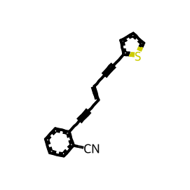 N#Cc1ccccc1C#CC=CC#Cc1cccs1